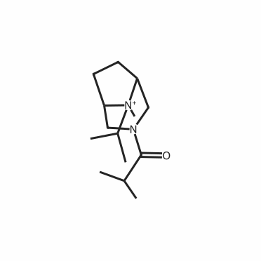 CC(C)C(=O)N1CC2CCC(C1)[N+]2(C)C(C)C